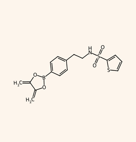 C=C1OB(c2ccc(CCNS(=O)(=O)c3cccs3)cc2)OC1=C